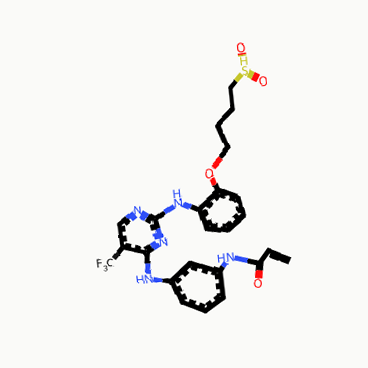 C=CC(=O)Nc1cccc(Nc2nc(Nc3ccccc3OCCCC[SH](=O)=O)ncc2C(F)(F)F)c1